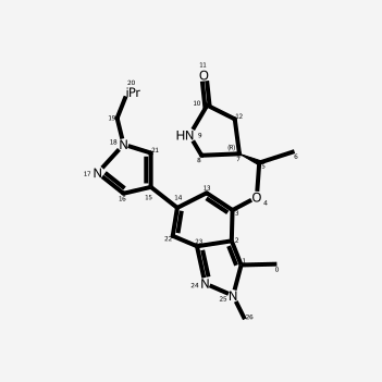 Cc1c2c(OC(C)[C@H]3CNC(=O)C3)cc(-c3cnn(CC(C)C)c3)cc2nn1C